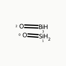 O=[SiH2].[O]=[BiH]